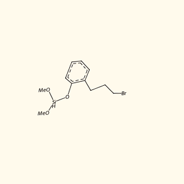 CO[SiH](OC)Oc1ccccc1CCCBr